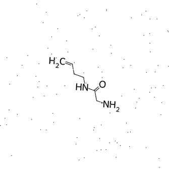 C=CCCNC(=O)CN